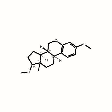 COc1ccc2c(c1)OC[C@@H]1[C@@H]2CC[C@]2(C)[C@@H](OC)CC[C@@H]12